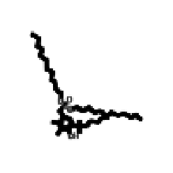 CCCCCCCCCCCCOP(=O)(Cc1cc(C(C)(C)CCCCC)c(O)c(C)c1C)OCCCCCCCCCCCC